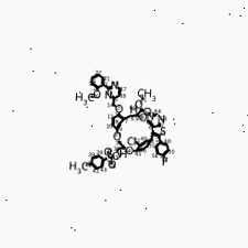 CCOC(=O)[C@H]1Cc2cc(ccc2OCc2ccnc(-c3ccccc3OC)n2)OC[C@@H](COS(=O)(=O)c2ccc(C)cc2)Oc2ccc(cc2Cl)-c2c(-c3ccc(F)cc3)sc3ncnc(c23)O1